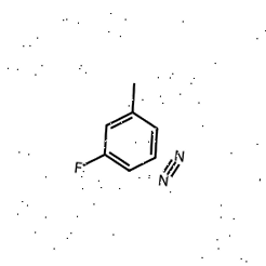 Cc1cccc(F)c1.N#N